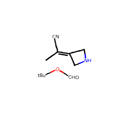 CC(C#N)=C1CNC1.CC(C)(C)OC=O